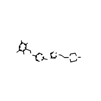 CN1CCN(CCn2cc(Nc3ncc(OCc4c(F)c(F)cc(F)c4F)cn3)cn2)CC1